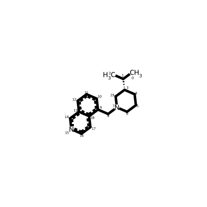 CC(C)[C@@H]1CCCN(Cc2cccc3cnccc23)C1